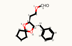 O=COCC[C@@H]1OC2(CCCC2)O[C@H]1Cc1ccccc1